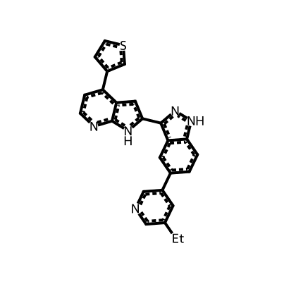 CCc1cncc(-c2ccc3[nH]nc(-c4cc5c(-c6ccsc6)ccnc5[nH]4)c3c2)c1